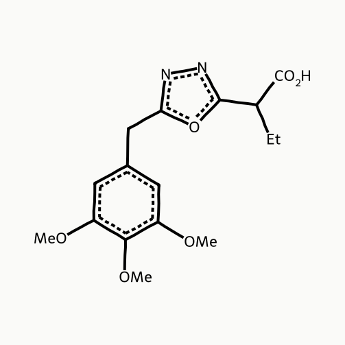 CCC(C(=O)O)c1nnc(Cc2cc(OC)c(OC)c(OC)c2)o1